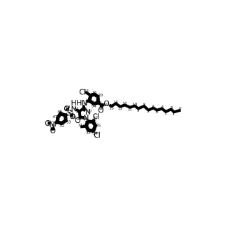 CCCCCCCCCCCCCCCCOC(=O)c1ccc(Cl)c(NC2=NN(c3c(C)cc(Cl)cc3Cl)C(=O)C2NS(=O)(=O)c2ccc([N+](=O)[O-])cc2)c1